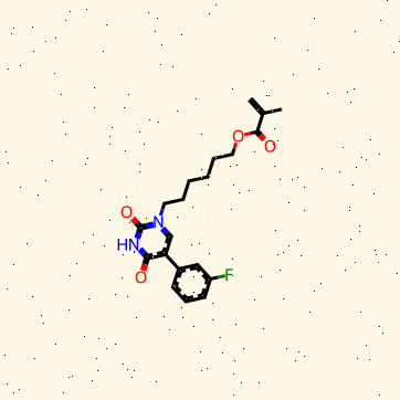 C=C(C)C(=O)OCCCCCCn1cc(-c2cccc(F)c2)c(=O)[nH]c1=O